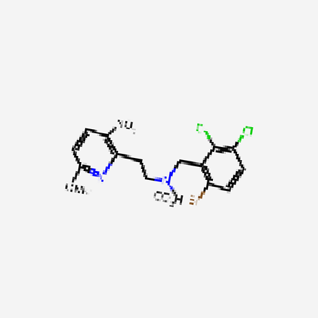 COc1ccc([N+](=O)[O-])c(CCN(Cc2c(Br)ccc(Cl)c2Cl)C(=O)O)n1